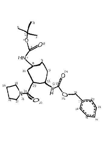 CC(C)(C)OC(=O)NC1CCC(NC(=O)OCc2ccccc2)C(C(=O)N2CCCC2)C1